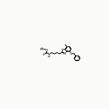 Cc1ccc(SCc2ccccc2)c2nc(CCCCNC(=O)OC(C)(C)C)sc12